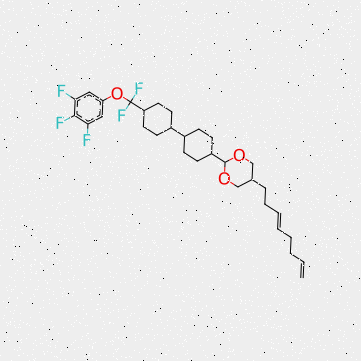 C=CCC/C=C/CCC1COC(C2CCC(C3CCC(C(F)(F)Oc4cc(F)c(F)c(F)c4)CC3)CC2)OC1